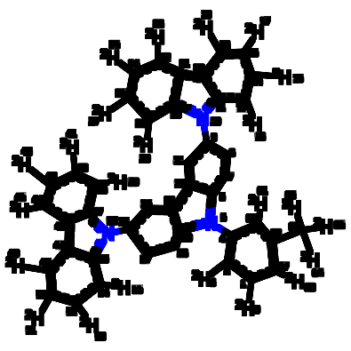 [2H]c1c([2H])c(-n2c3ccc(-n4c5c([2H])c([2H])c([2H])c([2H])c5c5c([2H])c([2H])c([2H])c([2H])c54)cc3c3cc(-n4c5c([2H])c([2H])c([2H])c([2H])c5c5c([2H])c([2H])c([2H])c([2H])c54)ccc32)c([2H])c(C([2H])([2H])[2H])c1[2H]